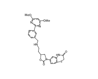 COc1cc(OC)nc(-c2cccc(CNCCC3CN(c4ccc5c(c4)NC(=O)CS5)C(=O)O3)c2)n1